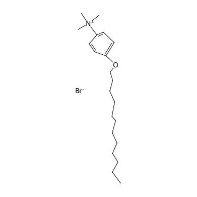 CCCCCCCCCCCCOc1ccc([N+](C)(C)C)cc1.[Br-]